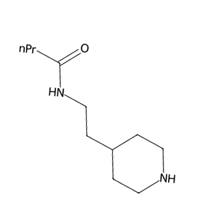 CCCC(=O)NCCC1CCNCC1